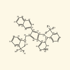 FC(F)(F)c1ccccc1OCc1cc(-c2ccc3ccccc3c2)c(COc2ccccc2C(F)(F)F)cc1C1=CCNCC1